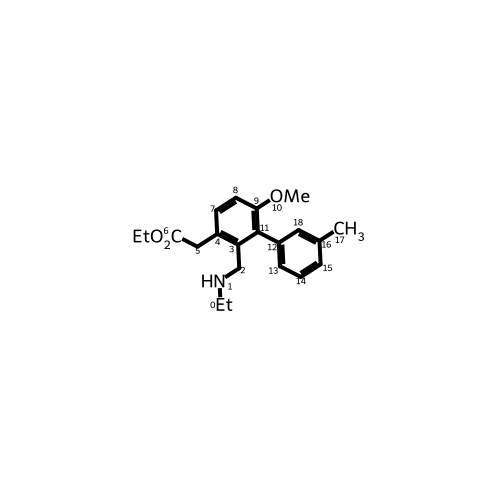 CCNCc1c(CC(=O)OCC)ccc(OC)c1-c1cccc(C)c1